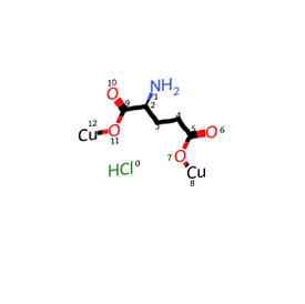 Cl.N[C@@H](CCC(=O)[O][Cu])C(=O)[O][Cu]